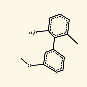 COc1cc(-c2c(C)cccc2N)ccn1